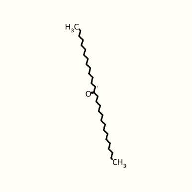 CCCCCCCCCCCCC[CH]C(=O)CCCCCCCCCCCCCCC